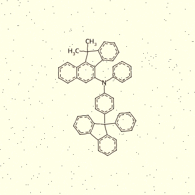 CC1(C)c2ccccc2-c2c(N(c3ccccc3)c3ccc(C4(c5ccccc5)c5ccccc5-c5ccccc54)cc3)cc3ccccc3c21